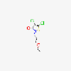 CCOCCCn1sc(Cl)c(Cl)c1=O